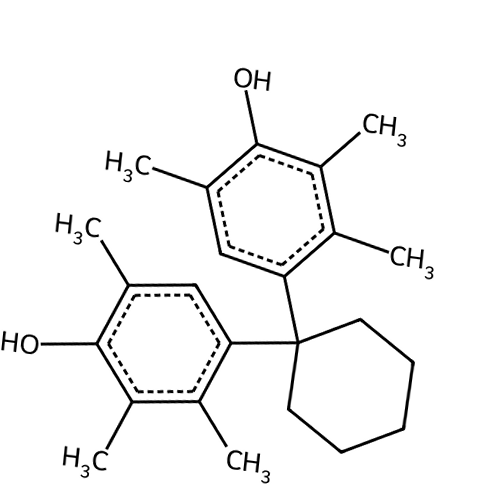 Cc1cc(C2(c3cc(C)c(O)c(C)c3C)CCCCC2)c(C)c(C)c1O